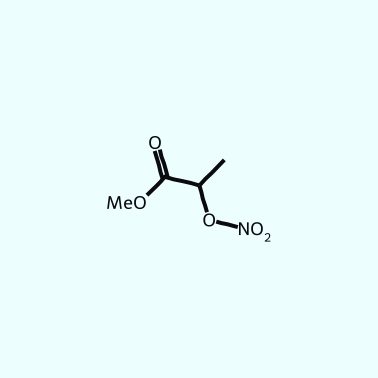 COC(=O)C(C)O[N+](=O)[O-]